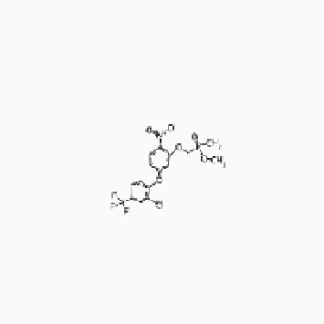 COP(C)(=O)COc1cc(Oc2ccc(C(F)(F)F)cc2Cl)ccc1[N+](=O)[O-]